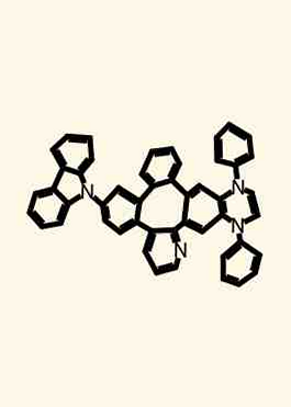 c1ccc(-n2ccn(-c3ccccc3)c3cc4c(cc32)c2ccccc2c2cc(-n3c5ccccc5c5ccccc53)ccc2c2cccnc24)cc1